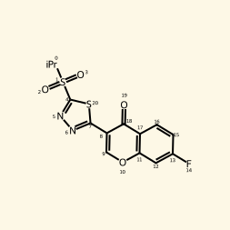 CC(C)S(=O)(=O)c1nnc(-c2coc3cc(F)ccc3c2=O)s1